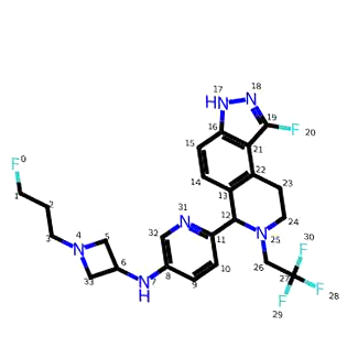 FCCCN1CC(Nc2ccc(C3c4ccc5[nH]nc(F)c5c4CCN3CC(F)(F)F)nc2)C1